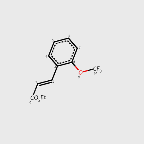 CCOC(=O)/C=C/c1ccccc1OC(F)(F)F